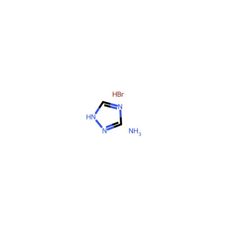 Br.N.c1nc[nH]n1